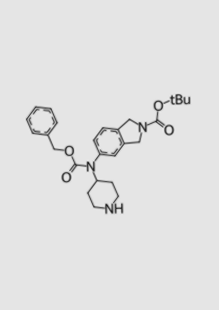 CC(C)(C)OC(=O)N1Cc2ccc(N(C(=O)OCc3ccccc3)C3CCNCC3)cc2C1